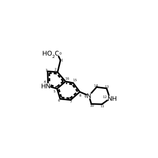 O=C(O)Cc1c[nH]c2ccc(N3CCNCC3)cc12